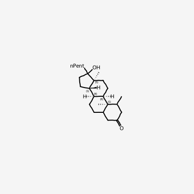 CCCCCC1(O)CC[C@H]2[C@@H]3CCC4CC(=O)CC(C)[C@]4(C)[C@@H]3CC[C@@]21C